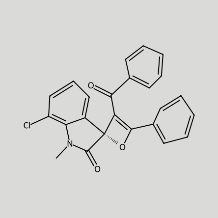 CN1C(=O)[C@@]2(OC(c3ccccc3)=C2C(=O)c2ccccc2)c2cccc(Cl)c21